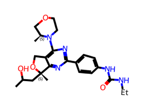 CCNC(=O)Nc1ccc(-c2nc(N3CCOC[C@@H]3C)c3c(n2)[C@](C)(CC(C)O)OC3)cc1